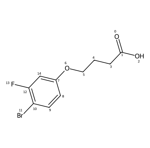 O=C(O)CCCOc1ccc(Br)c(F)c1